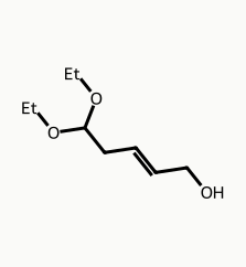 CCOC(C/C=C/CO)OCC